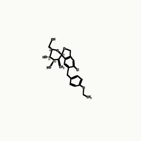 C=C1[C@@H](O)[C@H](O)[C@@H](CO)O[C@]12OCc1cc(Cl)c(Cc3ccc(OCC)cc3)cc12